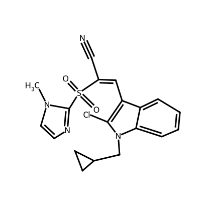 Cn1ccnc1S(=O)(=O)C(C#N)=Cc1c(Cl)n(CC2CC2)c2ccccc12